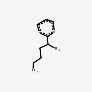 CCCCC(N)c1ncccn1